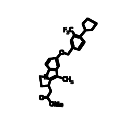 COC(=O)CC1CCn2c1c(C)c1cc(OCc3ccc(C4CCCC4)c(C(F)(F)F)c3)ccc12